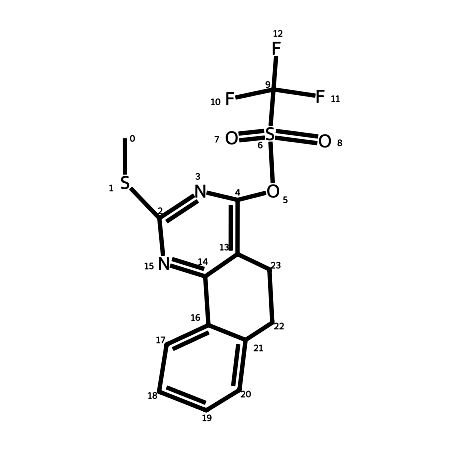 CSc1nc(OS(=O)(=O)C(F)(F)F)c2c(n1)-c1ccccc1CC2